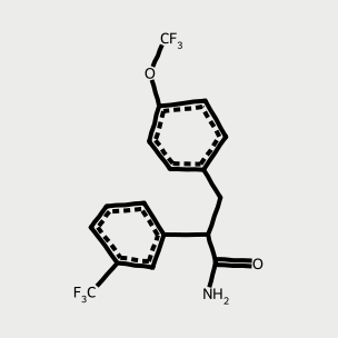 NC(=O)C(Cc1ccc(OC(F)(F)F)cc1)c1cccc(C(F)(F)F)c1